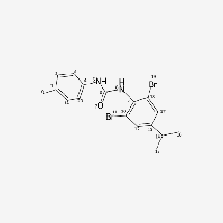 Cc1ccc(NC(=O)Nc2c(Br)cc(C(C)C)cc2Br)cc1